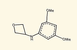 COc1cc(NC2COC2)cc(OC)c1